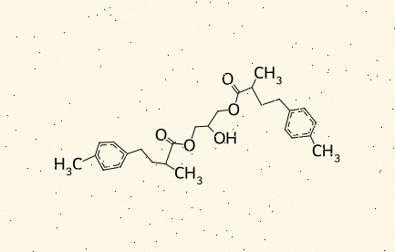 Cc1ccc(CCC(C)C(=O)OCC(O)COC(=O)C(C)CCc2ccc(C)cc2)cc1